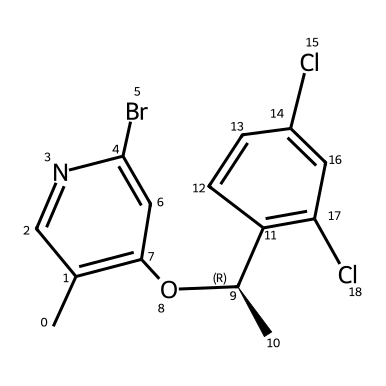 Cc1cnc(Br)cc1O[C@H](C)c1ccc(Cl)cc1Cl